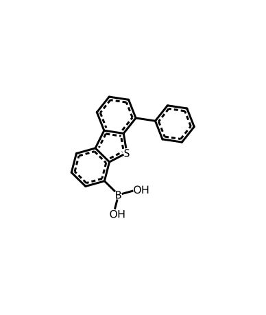 OB(O)c1cccc2c1sc1c(-c3ccccc3)cccc12